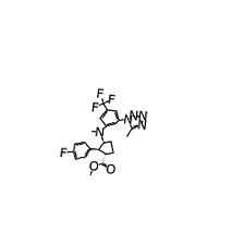 COC(=O)[C@H]1CC[C@H](N(C)c2cc(-n3nnnc3C)cc(C(F)(F)F)c2)[C@@H]1c1ccc(F)cc1